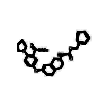 COC(=O)c1cc(Oc2ccc3c(c2)C[C@@H](NC(=O)OCc2ccccc2)CC3)ccc1N1CCCC1